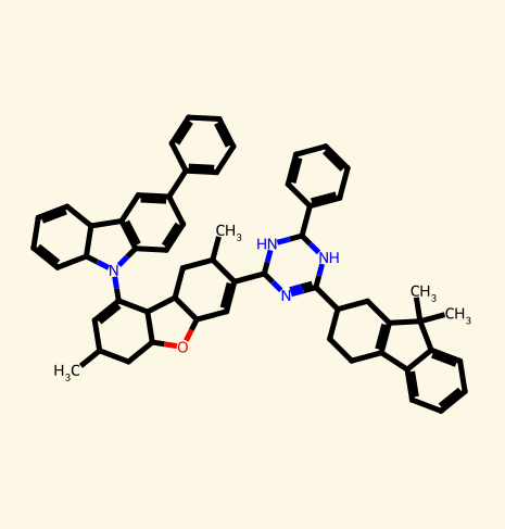 CC1C=C(N2c3ccc(-c4ccccc4)cc3C3C=CC=CC32)C2C(C1)OC1C=C(C3N=C(C4CCC5=C(C4)C(C)(C)c4ccccc45)NC(c4ccccc4)N3)C(C)CC12